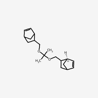 CC(C)(OCC1CC2C=CC1C2)OCC1CC2C=C[C@H]1C2